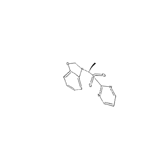 C[C@H](N1COc2ccccc21)S(=O)(=O)c1ncccn1